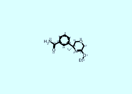 CCOC1=N[C@@](C)(c2cccc(C(N)=O)c2)COC1